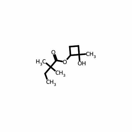 CCC(C)(C)C(=O)OC1CCC1(C)O